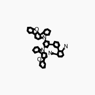 N#Cc1cccc(C#N)c1-c1cccc(-c2cc(-n3c4ccccc4c4c5oc6ccccc6c5ccc43)cc(-n3c4ccccc4c4c5oc6ccccc6c5ccc43)c2)c1